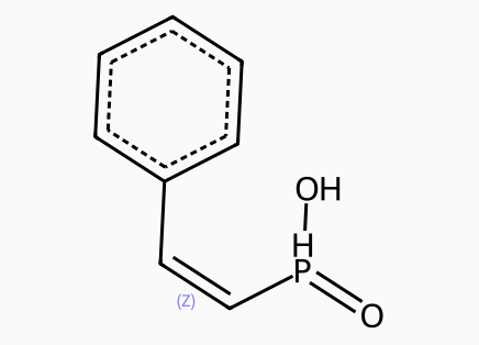 O=[PH](O)/C=C\c1ccccc1